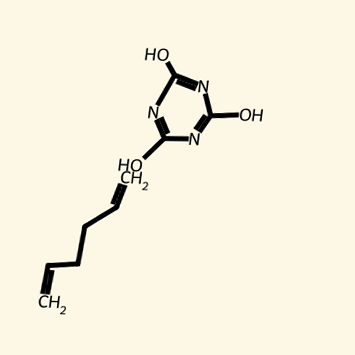 C=CCCC=C.Oc1nc(O)nc(O)n1